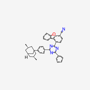 C[C@@H]1C[C@@H]2C[C@H](C)CC(c3ccc(-c4nc(-c5ccccc5)nc(-c5ccc(C#N)c6oc7ccccc7c56)n4)cc3)(C1)C2